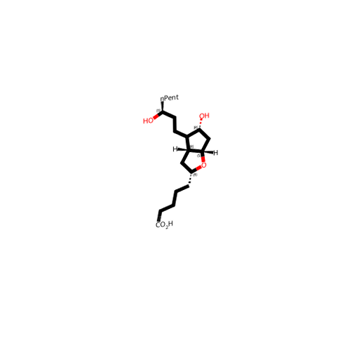 CCCCC[C@H](O)CCC1[C@H](O)C[C@@H]2O[C@H](CCCCC(=O)O)C[C@H]12